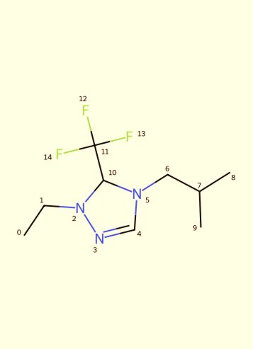 CCN1N=CN(CC(C)C)C1C(F)(F)F